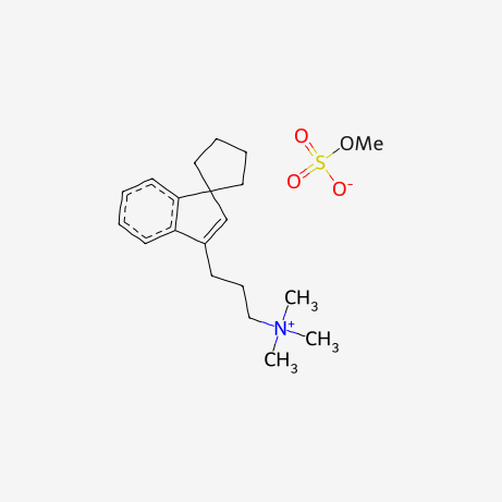 COS(=O)(=O)[O-].C[N+](C)(C)CCCC1=CC2(CCCC2)c2ccccc21